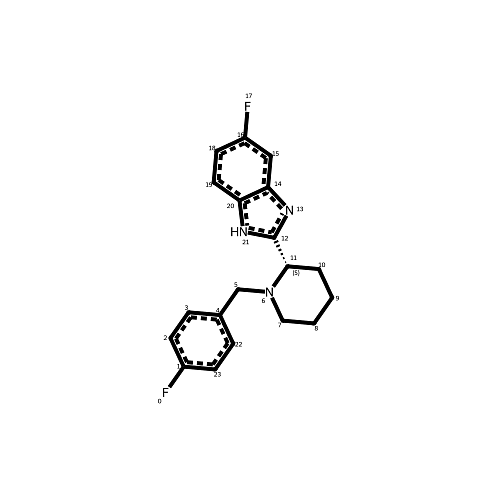 Fc1ccc(CN2CCCC[C@H]2c2nc3cc(F)ccc3[nH]2)cc1